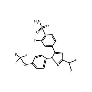 NS(=O)(=O)c1ccc(-c2cc(C(F)F)nn2-c2ccc(OC(F)(F)F)cc2)cc1F